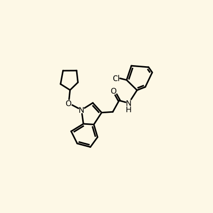 O=C(Cc1cn(OC2CCCC2)c2ccccc12)Nc1ccccc1Cl